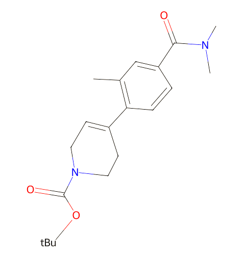 Cc1cc(C(=O)N(C)C)ccc1C1=CCN(C(=O)OC(C)(C)C)CC1